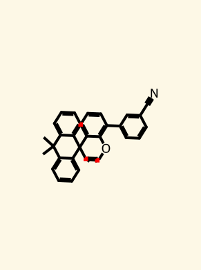 CC1(C)c2ccccc2C2(c3ccccc3Oc3c(-c4cccc(C#N)c4)cccc32)c2ccccc21